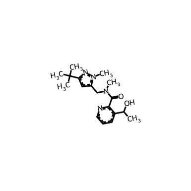 CC(O)c1cccnc1C(=O)N(C)Cc1cc(C(C)(C)C)nn1C